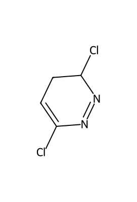 ClC1=CCC(Cl)N=N1